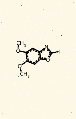 COc1cc2nc(I)oc2cc1OC